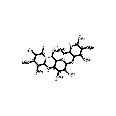 COCC1OC(OC2C(COC)OC(OC)C(OC)C2OC)C(OC)C(OC)C1OC1OC(C)C(N)C(OC)C1OC